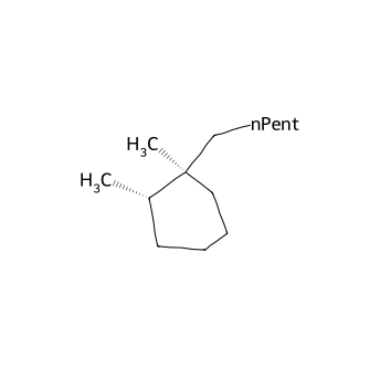 CCCCCC[C@@]1(C)CCCC[C@@H]1C